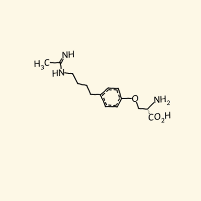 CC(=N)NCCCCc1ccc(OC[C@H](N)C(=O)O)cc1